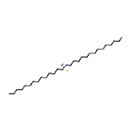 CCCCCCCCCCCCC[CH2][Ga][CH2]CCCCCCCCCCCCC.F